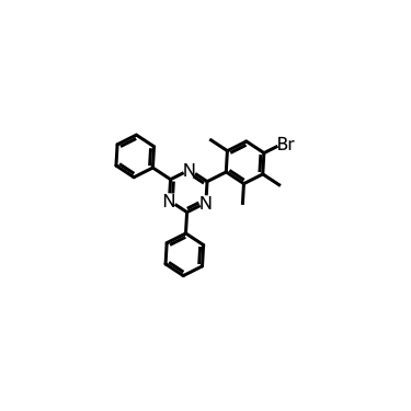 Cc1cc(Br)c(C)c(C)c1-c1nc(-c2ccccc2)nc(-c2ccccc2)n1